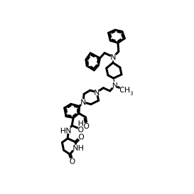 CN(CCN1CCN(c2cccc(C(O)NC3CCC(=O)NC3=O)c2C=O)CC1)[C@H]1CC[C@@H](N(Cc2ccccc2)Cc2ccccc2)CC1